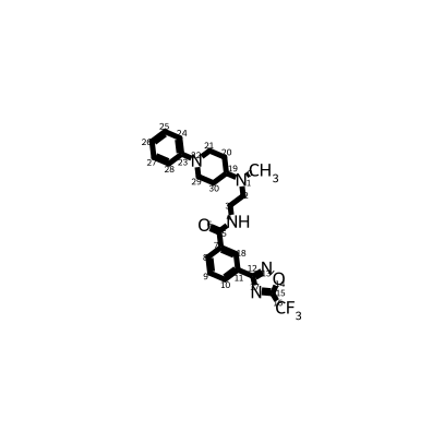 CN(CCNC(=O)c1cccc(-c2noc(C(F)(F)F)n2)c1)C1CCN(c2ccccc2)CC1